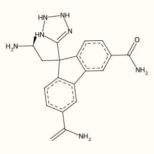 C=C(N)c1ccc2c(c1)-c1cc(C(N)=O)ccc1C2(C[C@H](C)N)C1=NNNN1